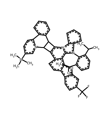 CC(C)c1cccc(C(C)C)c1-n1c2ccccc2[n+]2c3c(c4ccc5c6ccc(C(F)(F)F)cc6oc5c4c12)C1C3c2ccccc2-c2ccc([Si](C)(C)C)c[n+]21